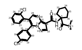 CN(C)C(=O)C1(NC(=O)c2cnn3c(-c4ccc(Cl)cc4)c(-c4ccccc4Cl)cnc23)CCCCC1